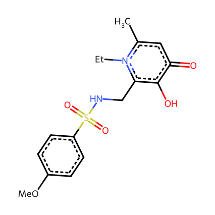 CCn1c(C)cc(=O)c(O)c1CNS(=O)(=O)c1ccc(OC)cc1